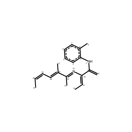 C=C(Nc1ccccc1C)C(=C/C)/N=C(C)/C(C)=C/C=C\C